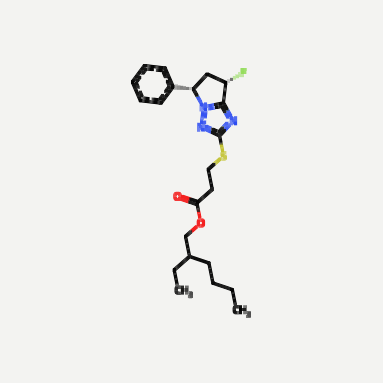 CCCCC(CC)COC(=O)CCSc1nc2n(n1)[C@H](c1ccccc1)C[C@@H]2F